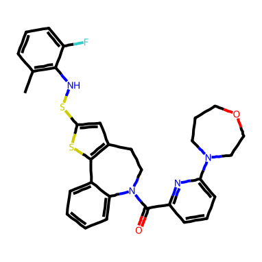 Cc1cccc(F)c1NSc1cc2c(s1)-c1ccccc1N(C(=O)c1cccc(N3CCCOCC3)n1)CC2